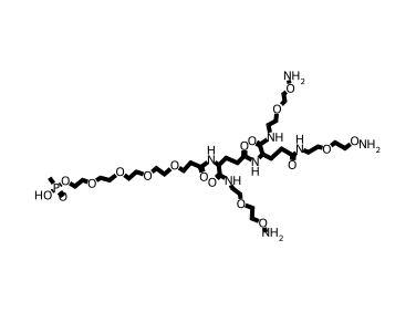 CP(=O)(O)OCCOCCOCCOCCOCCC(=O)NC(CCC(=O)NC(CCC(=O)NCCOCCON)C(=O)NCCOCCON)C(=O)NCCOCCON